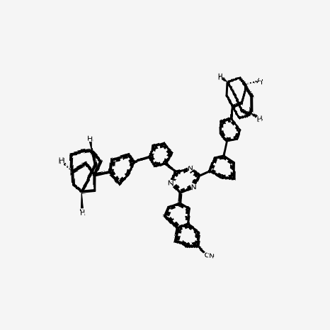 N#Cc1ccc2ccc(-c3nc(-c4cccc(-c5ccc(C67C[C@H]8C[C@@H](C6)C[C@@H](C7)C8)cc5)c4)nc(-c4cccc(-c5ccc(C67C[C@H]8C[C@@H](C6)C[C@@H](C7)C8)cc5)c4)n3)cc2c1